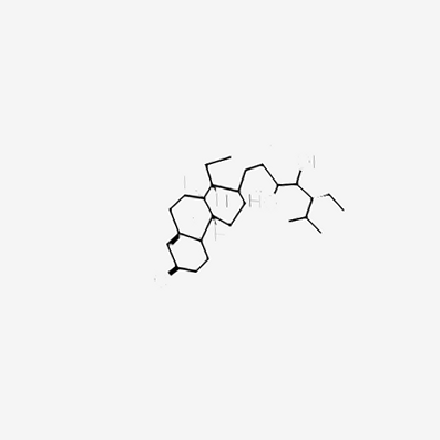 CC[C@@H](C(C)C)C(O)C(O)[C@@H](C)[C@H]1CC[C@H]2[C@@H]3CCC4=CC(=O)CC[C@]4(C)[C@H]3CC[C@]12C